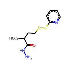 NNC(=O)C(CCSSc1ccccn1)S(=O)(=O)O